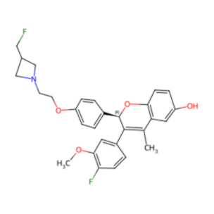 COc1cc(C2=C(C)c3cc(O)ccc3O[C@@H]2c2ccc(OCCN3CC(CF)C3)cc2)ccc1F